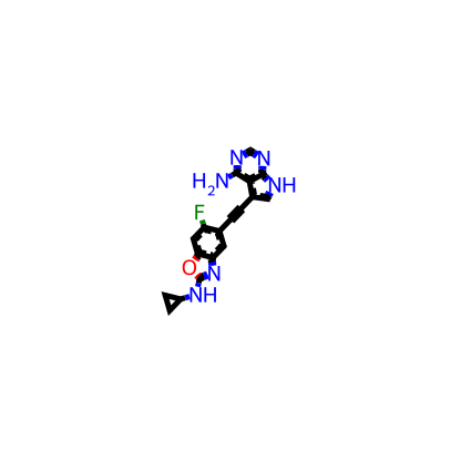 Nc1ncnc2[nH]cc(C#Cc3cc4nc(NC5CC5)oc4cc3F)c12